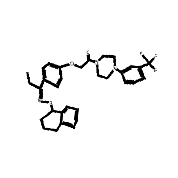 CCC(=NOC1CCCc2ccccc21)c1ccc(OCC(=O)N2CCN(c3cccc(C(F)(F)F)c3)CC2)cc1